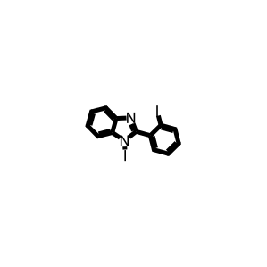 Ic1ccccc1-c1nc2ccccc2n1I